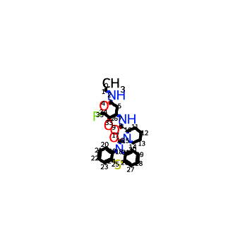 CCNC(=O)CC(NC(=O)[C@@H]1CCCCN1C(=O)N1c2ccccc2Sc2ccccc21)C(=O)CF